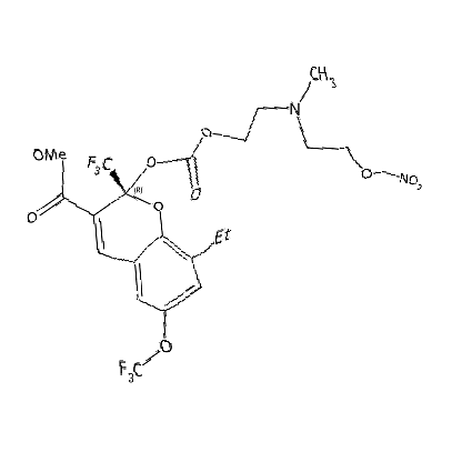 CCc1cc(OC(F)(F)F)cc2c1O[C@](OC(=O)OCCN(C)CCO[N+](=O)[O-])(C(F)(F)F)C(C(=O)OC)=C2